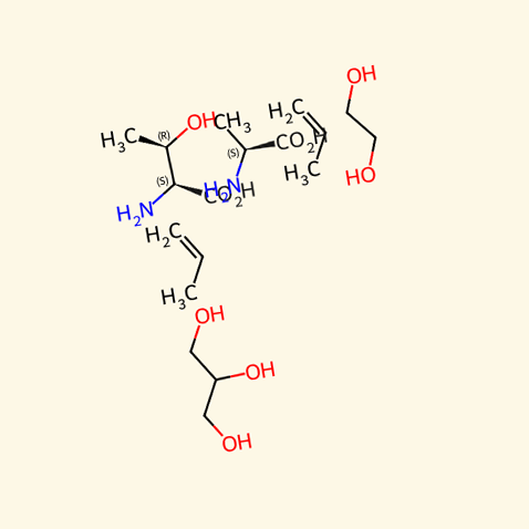 C=CC.C=CC.C[C@@H](O)[C@H](N)C(=O)O.C[C@H](N)C(=O)O.OCC(O)CO.OCCO